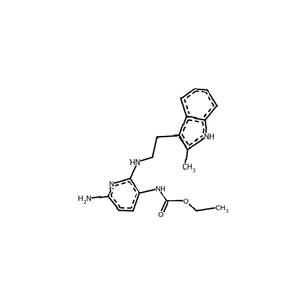 CCOC(=O)Nc1ccc(N)nc1NCCc1c(C)[nH]c2ccccc12